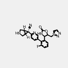 N#C[C@]1(c2ccc(-c3c(F)cccc3C3NC(=O)OC3Cn3ccnn3)cn2)[C@@H]2CNC[C@@H]21